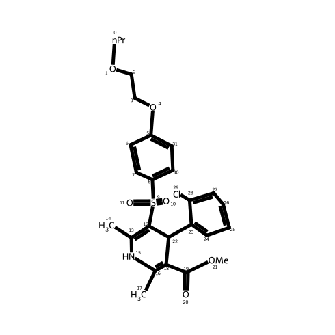 CCCOCCOc1ccc(S(=O)(=O)C2=C(C)NC(C)=C(C(=O)OC)C2c2ccccc2Cl)cc1